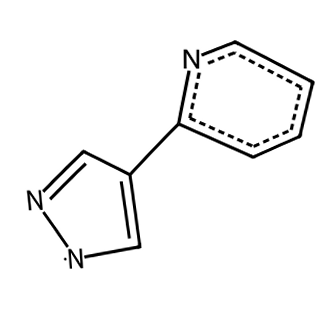 C1=N[N]C=C1c1ccccn1